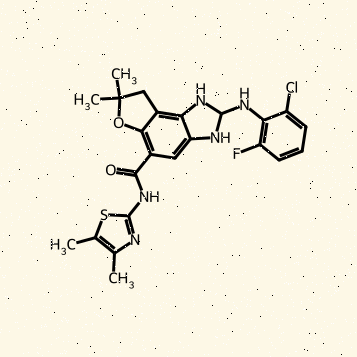 Cc1nc(NC(=O)c2cc3c(c4c2OC(C)(C)C4)NC(Nc2c(F)cccc2Cl)N3)sc1C